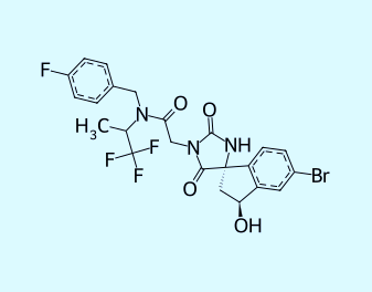 CC(N(Cc1ccc(F)cc1)C(=O)CN1C(=O)N[C@]2(C[C@H](O)c3cc(Br)ccc32)C1=O)C(F)(F)F